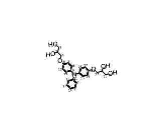 OCC(O)COc1ccc(N(c2ccccc2)c2ccc(OCC(O)CO)cc2)cc1